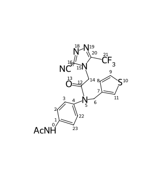 CC(=O)Nc1ccc(N(Cc2ccsc2)C(=O)Cn2c(C#N)nnc2C(F)(F)F)cc1